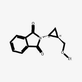 CCOC[C@@H]1C[C@H]1N1C(=O)c2ccccc2C1=O